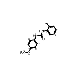 Cc1ccccc1NC(=O)Nc1ccc(SC(F)(F)F)cc1